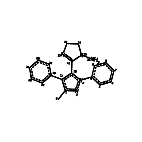 Cc1nn(-c2ccccc2)c(C2=NCCN2N)c1-c1ccccc1